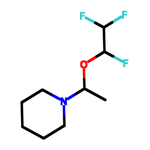 CC(OC(F)C(F)F)N1CCCCC1